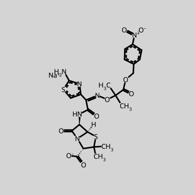 CC(C)(O/N=C(\C(=O)N[C@@H]1C(=O)N2[C@@H]1SC(C)(C)[C@@H]2C(=O)[O-])c1csc(N)n1)C(=O)OCc1ccc([N+](=O)[O-])cc1.[Na+]